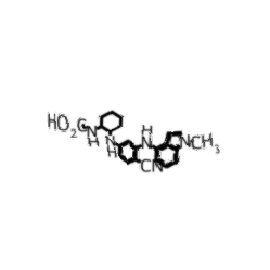 Cn1ccc2c(Nc3cc(NC4CCCCC4NC(=O)O)ccc3C#N)cccc21